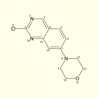 Clc1ncc2ccc(N3CCOCC3)cc2n1